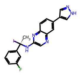 C[C@](I)(Nc1cnc2cc(-c3cn[nH]c3)ccc2n1)c1cccc(F)c1